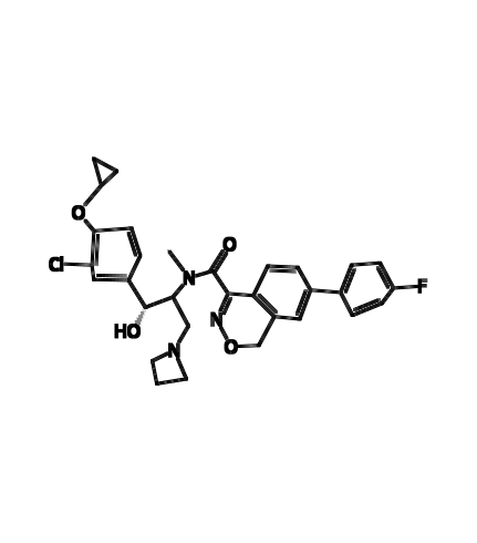 CN(C(=O)C1=NOCc2cc(-c3ccc(F)cc3)ccc21)C(CN1CCC1)[C@H](O)c1ccc(OC2CC2)c(Cl)c1